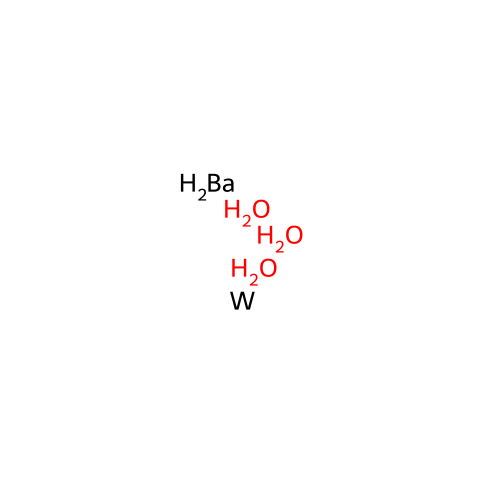 O.O.O.[BaH2].[W]